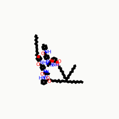 CCCCCCCCCCCCc1ccc(NC(=O)c2ccc(N3N=C(C)/C(=N/Nc4ccccc4C(=O)OCCCCCCCCC(CCCCCCCCC)C(CCCCCCCCC)CCCCCCCCOC(=O)c4ccccc4N/N=C4\C(=O)N(c5ccc(C(=O)Nc6ccc(C)cc6)cc5)N=C4C)C3=O)cc2)cc1